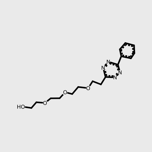 OCCOCCOCCOCCc1nnc(-c2ccccc2)nn1